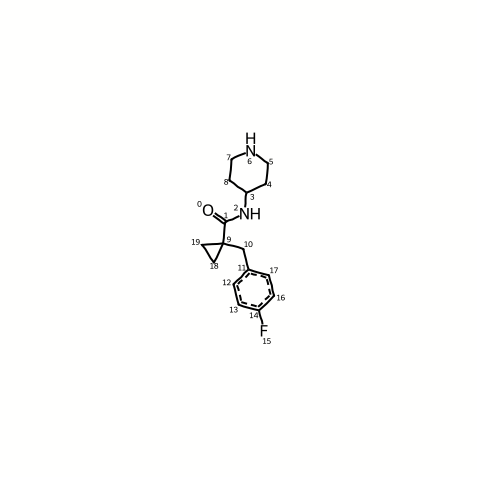 O=C(NC1CCNCC1)C1(Cc2ccc(F)cc2)CC1